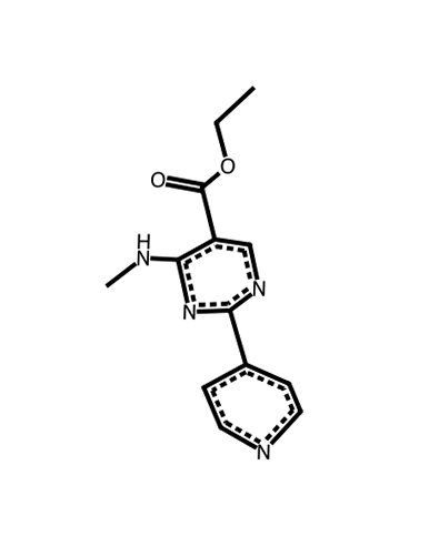 CCOC(=O)c1cnc(-c2ccncc2)nc1NC